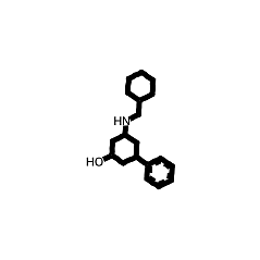 OC1CC(NCC2CCCCC2)CC(c2ccccc2)C1